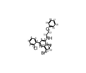 Clc1ccccc1-c1cc(NCCOc2ccccc2)n2ncc(Br)c2n1